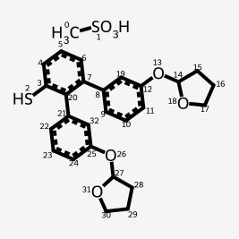 CS(=O)(=O)O.Sc1cccc(-c2cccc(OC3CCCO3)c2)c1-c1cccc(OC2CCCO2)c1